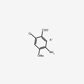 COc1cc(Cl)c(C(=O)[O-])cc1N.[K+]